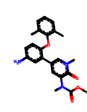 Cc1cccc(C)c1Oc1ccc(N)cc1-c1cc(N(C)C(=O)OC(C)(C)C)c(=O)n(C)c1